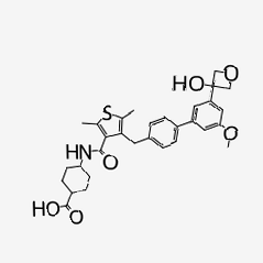 COc1cc(-c2ccc(Cc3c(C)sc(C)c3C(=O)NC3CCC(C(=O)O)CC3)cc2)cc(C2(O)COC2)c1